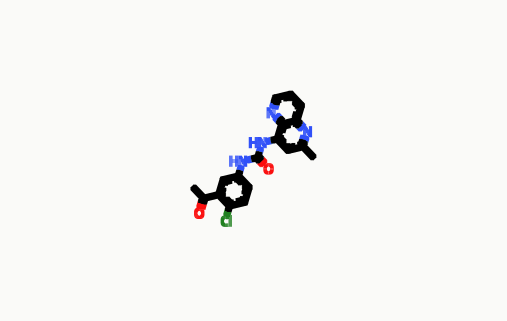 CC(=O)c1cc(NC(=O)Nc2cc(C)nc3cccnc23)ccc1Cl